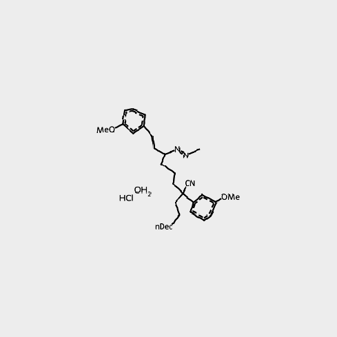 CCCCCCCCCCCCC(C#N)(CCCC(CCc1cccc(OC)c1)N=NC)c1cccc(OC)c1.Cl.O